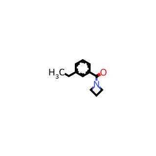 CCc1cccc(C(=O)N2CCC2)c1